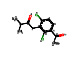 BC(C)C(=O)Cc1c(Cl)ccc(C(=O)OC)c1Cl